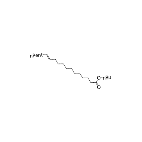 CCCCCC=CCC=CCCCCCCCC(=O)OCCCC